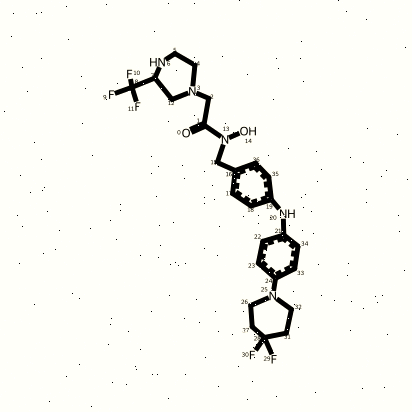 O=C(CN1CCNC(C(F)(F)F)C1)N(O)Cc1ccc(Nc2ccc(N3CCC(F)(F)CC3)cc2)cc1